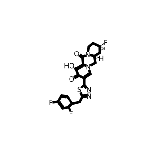 O=C1c2c(O)c(=O)c(-c3nnc(Cc4ccc(F)cc4F)s3)cn2C[C@@H]2C[C@@H](F)CCN12